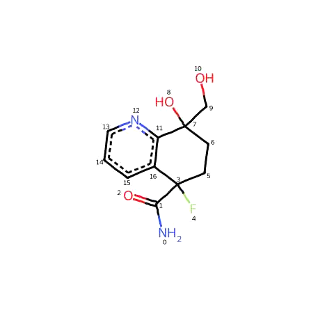 NC(=O)C1(F)CCC(O)(CO)c2ncccc21